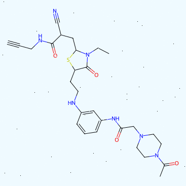 C#CCNC(=O)C(C#N)CC1SC(CCNc2cccc(NC(=O)CN3CCN(C(C)=O)CC3)c2)C(=O)N1CC